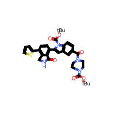 CC(C)(C)OC(=O)N1CCN(C(=O)c2ccc3c(c2)cc(-c2ccc(-c4cccs4)c4c2C(=O)NC4)n3C(=O)OC(C)(C)C)CC1